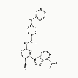 C[C@H](Nc1ncc(C#N)c(-c2cnc3c(C(F)F)cccn23)n1)c1ccc(Nc2cnccn2)cc1